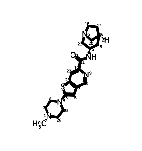 CN1CCN(c2cc3cnc(C(=O)N[C@@H]4C[C@@H]5CCN(C5)C4)cc3s2)CC1